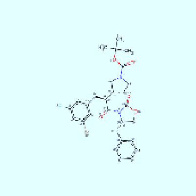 CC(C)(C)OC(=O)N1CC[C@H]([C@H](Cc2cc(F)cc(Br)c2)C(=O)N2C(=O)OC[C@@H]2Cc2ccccc2)C1